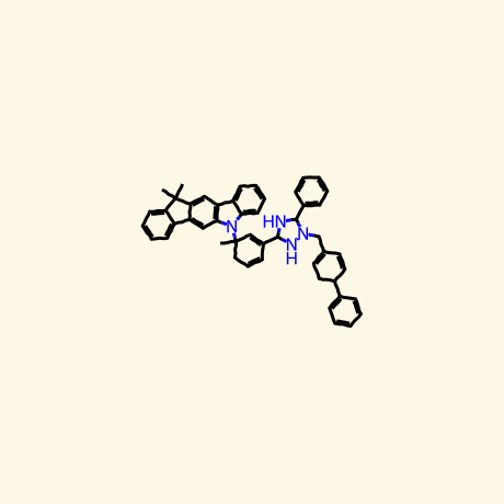 CC1(C)c2ccccc2-c2cc3c(cc21)c1ccccc1n3C1(C)C=C(C2NC(c3ccccc3)N(CC3=CCC(c4ccccc4)C=C3)N2)C=CC1